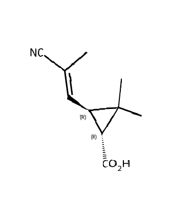 CC(C#N)=C[C@@H]1[C@@H](C(=O)O)C1(C)C